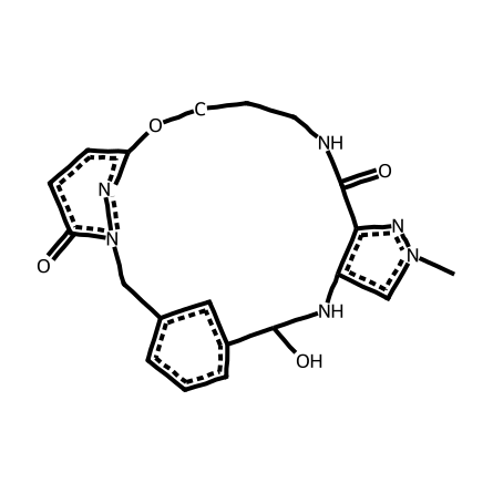 Cn1cc2c(n1)C(=O)NCCCOc1ccc(=O)n(n1)Cc1cccc(c1)C(O)N2